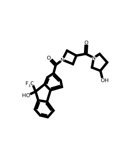 O=C(c1ccc2c(c1)C(O)(C(F)(F)F)c1ccccc1-2)N1CC(C(=O)N2CCC(O)C2)C1